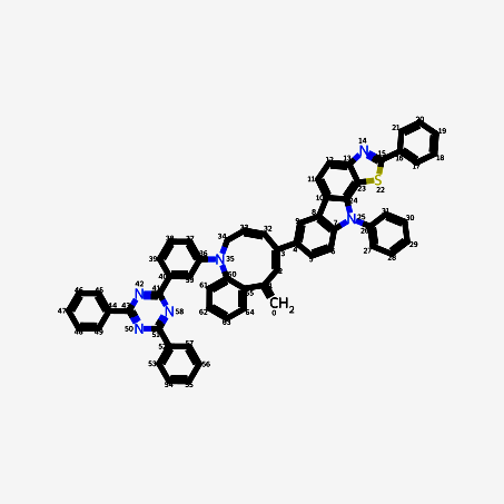 C=C1/C=C(c2ccc3c(c2)c2ccc4nc(-c5ccccc5)sc4c2n3-c2ccccc2)\C=C/CN(c2cccc(-c3nc(-c4ccccc4)nc(-c4ccccc4)n3)c2)c2ccccc21